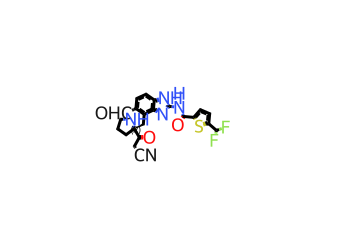 N#CCC(=O)[C@]1(Cc2c(C=O)ccc3[nH]c(NC(=O)c4ccc(C(F)F)s4)nc23)CCCN1